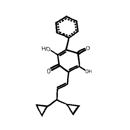 O=C1C(O)=C(c2ccccc2)C(=O)C(O)=C1/C=C/C(C1CC1)C1CC1